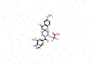 COc1ccc2c(c1)C(=O)CC1(CCN(C(=O)c3cc(C)c4[nH]ncc4c3)CC1)O2.O=C(O)C(F)(F)F